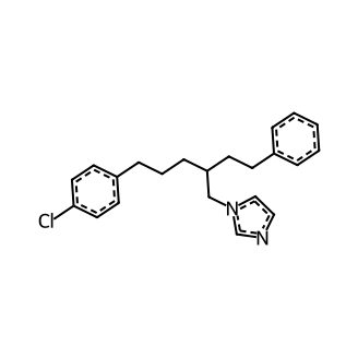 Clc1ccc(CCCC(CCc2ccccc2)Cn2ccnc2)cc1